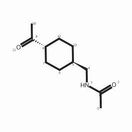 CC(=O)NC[C@H]1CC[C@H](C(C)=O)CC1